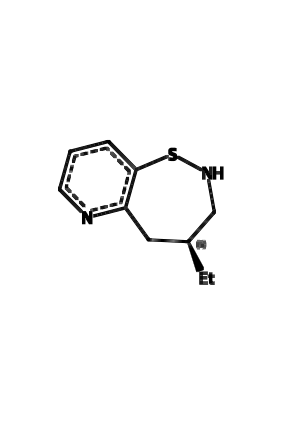 CC[C@@H]1CNSc2cccnc2C1